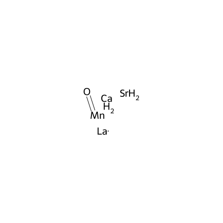 [CaH2].[La].[O]=[Mn].[SrH2]